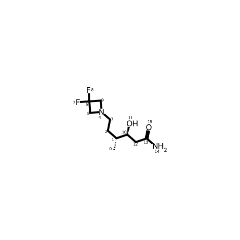 C[C@H](CCN1CC(F)(F)C1)[C@@H](O)CC(N)=O